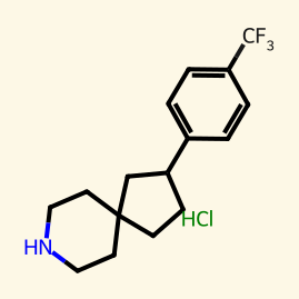 Cl.FC(F)(F)c1ccc(C2CCC3(CCNCC3)C2)cc1